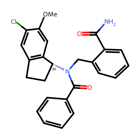 COc1cc2c(cc1Cl)CC[C@H]2N(Cc1ccccc1C(N)=O)C(=O)c1ccccc1